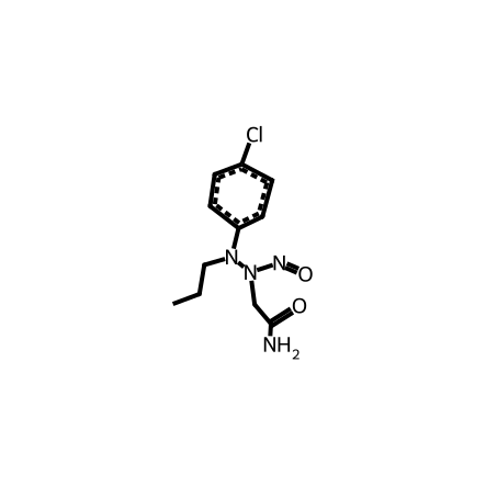 CCCN(c1ccc(Cl)cc1)N(CC(N)=O)N=O